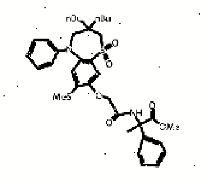 CCCCC1(CCCC)CN(c2ccccc2)c2cc(SC)c(OCC(=O)NC(C)(C(=O)OC)c3ccccc3)cc2S(=O)(=O)C1